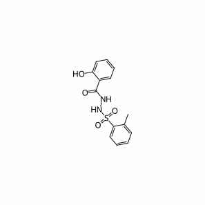 Cc1ccccc1S(=O)(=O)NNC(=O)c1ccccc1O